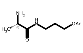 CC(=O)OCCCNC(=O)[C@H](C)N